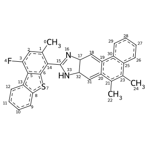 Cc1cc(F)c2c(sc3ccccc32)c1C1=NC2C=c3c(c(C)c(C)c4ccccc34)=CC2N1